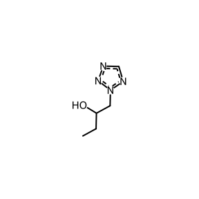 CCC(O)Cn1ncnn1